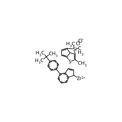 CC(C)(C)c1ccc(-c2cccc3c2C=C[CH]3[Zr+2])cc1.CC1=C2C3C(=CC=C3[Si]2(C)C)S1.[Cl-].[Cl-]